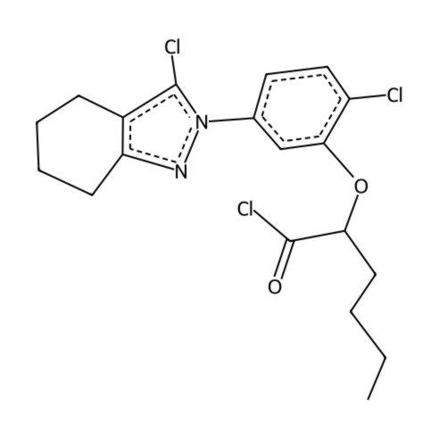 CCCCC(Oc1cc(-n2nc3c(c2Cl)CCCC3)ccc1Cl)C(=O)Cl